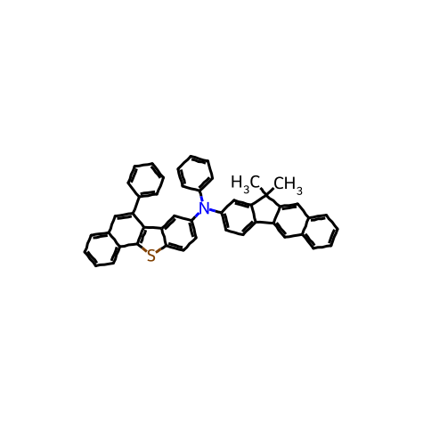 CC1(C)c2cc(N(c3ccccc3)c3ccc4sc5c6ccccc6cc(-c6ccccc6)c5c4c3)ccc2-c2cc3ccccc3cc21